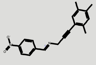 Cc1cc(C)c(C#CC/N=C/c2ccc([N+](=O)[O-])cc2)cc1C